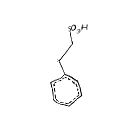 O=S(=O)(O)C[C]c1ccccc1